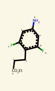 CCOC(=O)CCc1c(F)cc(N)cc1F